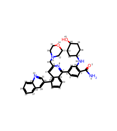 NC(=O)c1ccc(-c2nc(CN3CCOCC3)cc3c(-c4cnc5ccccc5c4)cccc23)cc1NC1CCC(O)CC1